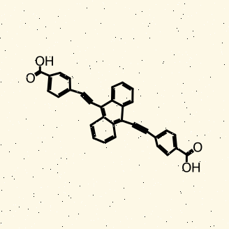 O=C(O)c1ccc(C#Cc2c3ccccc3c(C#Cc3ccc(C(=O)O)cc3)c3ccccc23)cc1